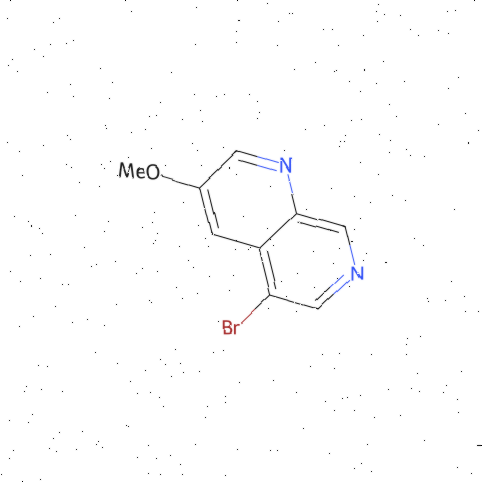 COc1cnc2cncc(Br)c2c1